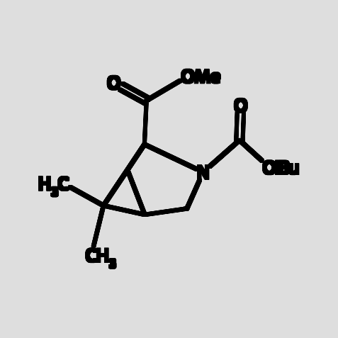 COC(=O)C1C2C(CN1C(=O)OCC(C)C)C2(C)C